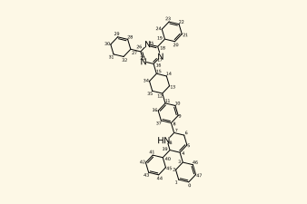 C1=CCC(C2=CCC(c3ccc(C4CCC(c5nc(C6C=CC=CC6)nc(C6C=CCCC6)n5)CC4)cc3)NC2C2C=CC=CC2)C=C1